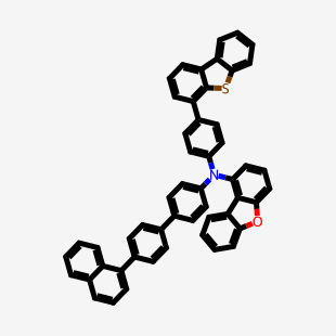 c1ccc2c(-c3ccc(-c4ccc(N(c5ccc(-c6cccc7c6sc6ccccc67)cc5)c5cccc6oc7ccccc7c56)cc4)cc3)cccc2c1